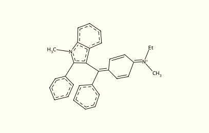 CC[N+](C)=C1C=CC(=C(c2ccccc2)c2c(-c3ccccc3)n(C)c3ccccc23)C=C1